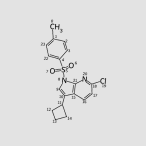 Cc1ccc(S(=O)(=O)n2cc(C3CCC3)c3ccc(Cl)nc32)cc1